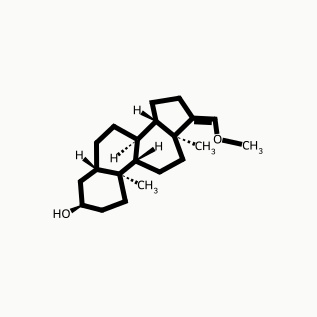 CO/C=C1/CC[C@H]2[C@@H]3CC[C@H]4C[C@H](O)CC[C@]4(C)[C@H]3CC[C@]12C